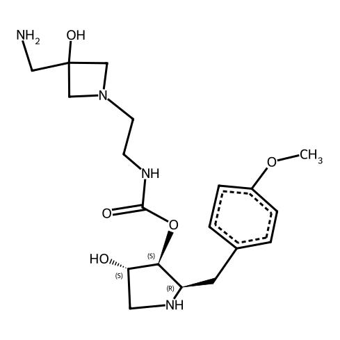 COc1ccc(C[C@H]2NC[C@H](O)[C@H]2OC(=O)NCCN2CC(O)(CN)C2)cc1